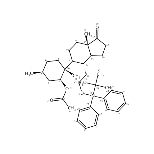 CC(=O)O[C@H]1C[C@@H](C)CC[C@]1(C)C1CC[C@]2(C)C(=O)CCC2[C@@H]1CCO[Si](c1ccccc1)(c1ccccc1)C(C)(C)C